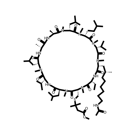 CC[C@H]1NC(=O)[C@@H](C[C@H](C)CCCCCCNC(C)=O)N(C)C(=O)[C@@H](C(C)C)N(C)C(=O)[C@@H](CCC(C)C)N(C)C(=O)[C@@H](CC(C)C)N(C)C(=O)[C@H](C)NC(=O)[C@@H](C)NC(=O)[C@@H](CC(C)C)N(C)C(=O)[C@@H](C(C)C)NC(=O)[C@H](CC(C)C)N(C)C(=O)[C@@H](CSC(C)(C)CC(=O)OC)N(C)C1=O